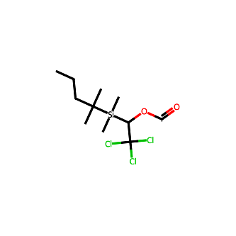 CCCC(C)(C)[Si](C)(C)C(O[C]=O)C(Cl)(Cl)Cl